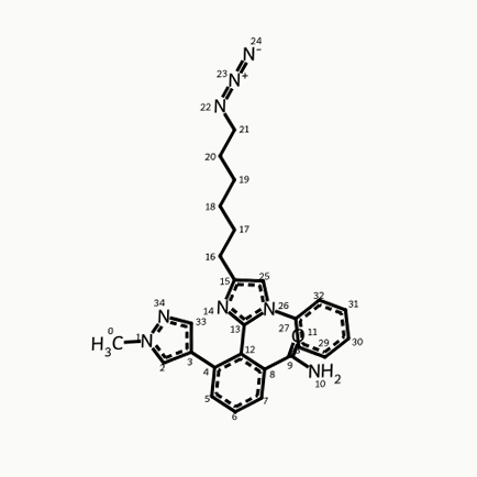 Cn1cc(-c2cccc(C(N)=O)c2-c2nc(CCCCCCN=[N+]=[N-])cn2-c2ccccc2)cn1